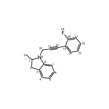 CC1Cc2ccccc2N1CC#Cc1ccccc1F